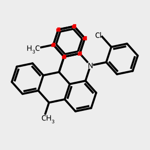 Cc1ccccc1C12c3ccccc3C(C)c3cccc(c31)N(c1ccccc1Cl)c1ccccc12